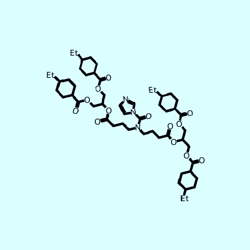 CCC1CCC(C(=O)OCC(COC(=O)C2CCC(CC)CC2)OC(=O)CCCN(CCCC(=O)OC(COC(=O)C2CCC(CC)CC2)COC(=O)C2CCC(CC)CC2)C(=O)n2ccnc2)CC1